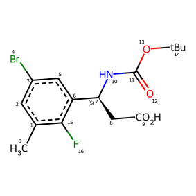 Cc1cc(Br)cc([C@H](CC(=O)O)NC(=O)OC(C)(C)C)c1F